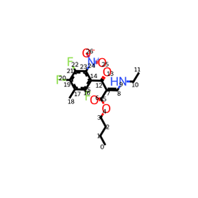 CCCCOC(=O)/C(=C/NCC)C(=O)c1c(F)c(C)c(F)c(F)c1[N+](=O)[O-]